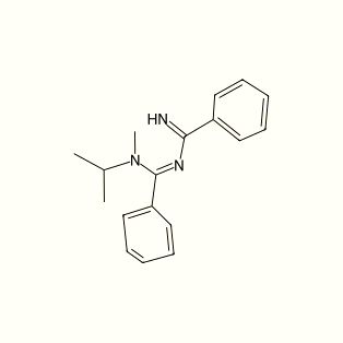 CC(C)N(C)/C(=N\C(=N)c1ccccc1)c1ccccc1